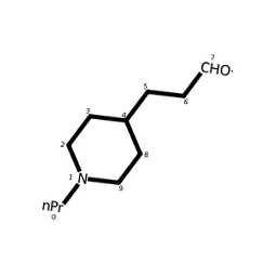 CCCN1CCC(CC[C]=O)CC1